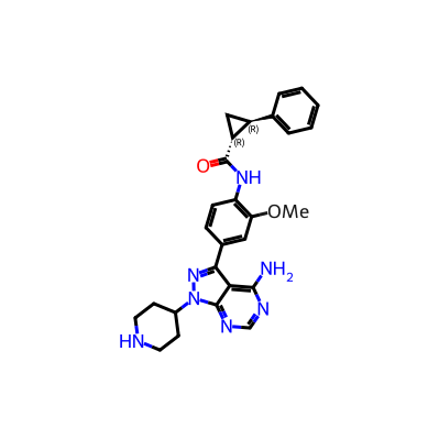 COc1cc(-c2nn(C3CCNCC3)c3ncnc(N)c23)ccc1NC(=O)[C@@H]1C[C@H]1c1ccccc1